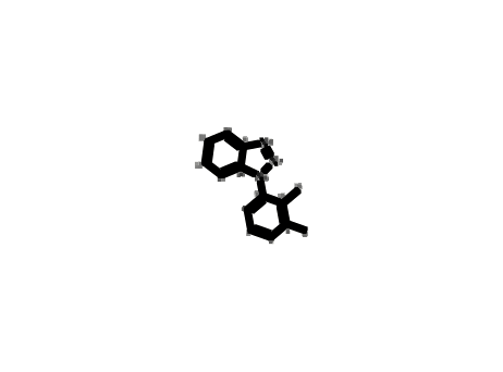 Cc1cccc(-n2nnc3ccccc32)c1C